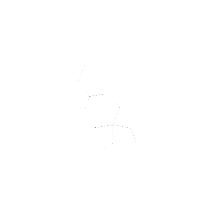 CCC1OCC(CBr)(CBr)CO1